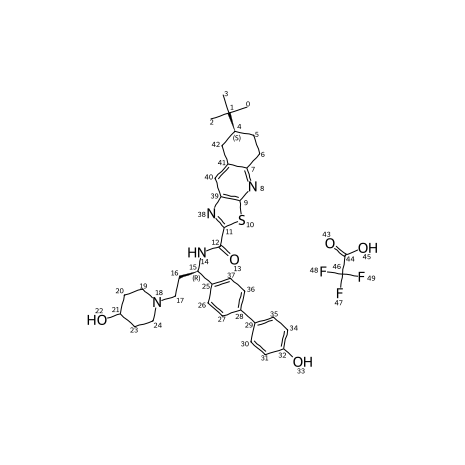 CC(C)(C)[C@H]1CCc2nc3sc(C(=O)N[C@H](CCN4CCC(O)CC4)c4ccc(-c5ccc(O)cc5)cc4)nc3cc2C1.O=C(O)C(F)(F)F